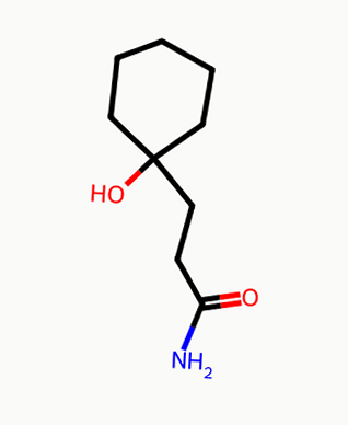 NC(=O)CCC1(O)CCCCC1